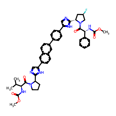 COC(=O)N[C@H](C(=O)N1CCCC1c1ncc(-c2ccc3cc(-c4ccc(-c5cnc([C@@H]6C[C@@H](F)CN6C(=O)[C@H](NC(=O)OC)c6ccccc6)[nH]5)cc4)ccc3c2)[nH]1)C(C)C